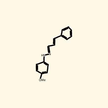 COc1ccc(NN=CC=Cc2ccccc2)cc1